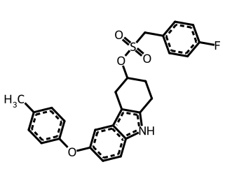 Cc1ccc(Oc2ccc3[nH]c4c(c3c2)CC(OS(=O)(=O)Cc2ccc(F)cc2)CC4)cc1